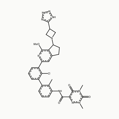 COc1nc(-c2cccc(-c3cccc(NC(=O)c4nn(C)c(=O)n(C)c4=O)c3C)c2Cl)cc2c1C(N1CC(c3nnn[nH]3)C1)CC2